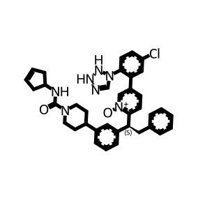 O=C(NC1CC=CC1)N1CCC(c2cccc([C@H](Cc3ccccc3)c3ccc(-c4cc(Cl)ccc4N4C=NNN4)c[n+]3[O-])c2)CC1